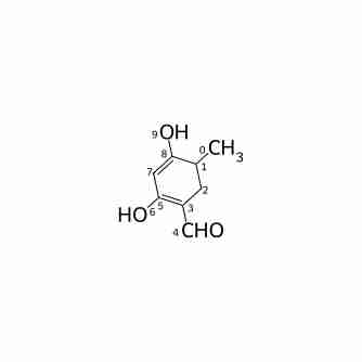 CC1CC(C=O)=C(O)C=C1O